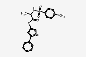 Cc1ccc(S(=O)(=O)NC(C)C(=O)Oc2c[nH]c(-c3ccccc3)c2)cc1